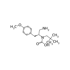 COc1ccc(C[C@@H](CN)N(CC(C)(C)C)C(=O)O)cc1